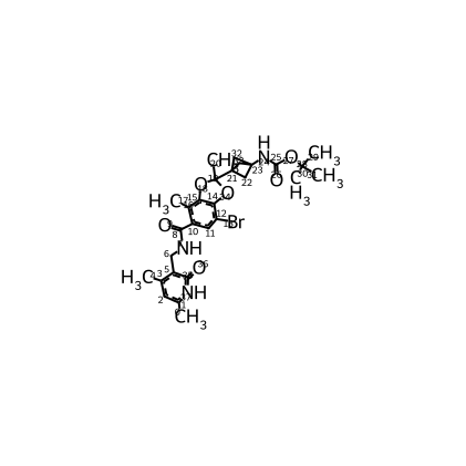 Cc1cc(C)c(CNC(=O)c2cc(Br)c3c(c2C)OC(C)(C24CC(NC(=O)OC(C)(C)C)(C2)C4)O3)c(=O)[nH]1